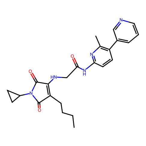 CCCCC1=C(NCC(=O)Nc2ccc(-c3cccnc3)c(C)n2)C(=O)N(C2CC2)C1=O